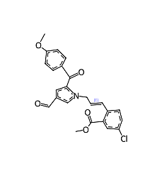 COC(=O)c1cc(Cl)ccc1/C=C/Cn1cc(C=O)cc1C(=O)c1ccc(OC)cc1